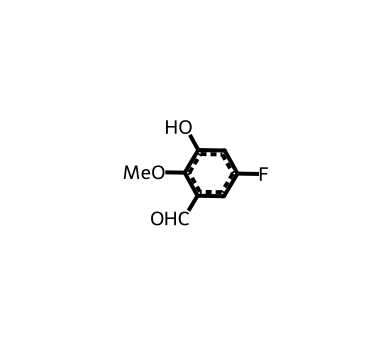 COc1c(O)cc(F)cc1C=O